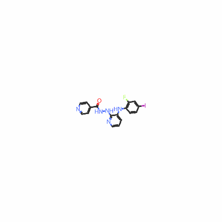 O=C(NNc1ncccc1Nc1ccc(I)cc1F)c1ccncc1